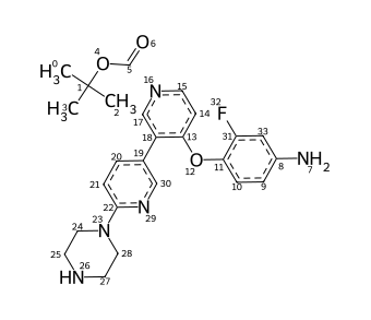 CC(C)(C)OC=O.Nc1ccc(Oc2ccncc2-c2ccc(N3CCNCC3)nc2)c(F)c1